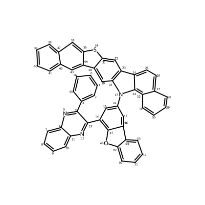 c1ccc(-c2nc3ccccc3nc2-c2cc(-n3c4cc5c(cc4c4ccc6ccccc6c43)sc3cc4ccccc4cc35)cc3c2oc2ccccc23)cc1